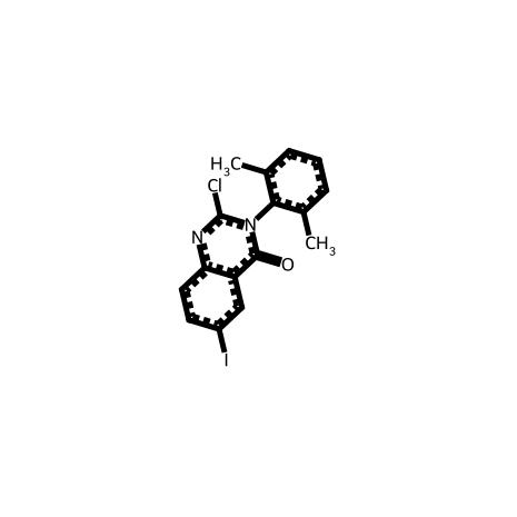 Cc1cccc(C)c1-n1c(Cl)nc2ccc(I)cc2c1=O